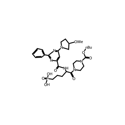 CCCCOC(=O)N1CCN(C(=O)C(CCCP(=O)(O)O)NC(=O)c2cc(N3CCC(OC)C3)nc(-c3ccccc3)n2)CC1